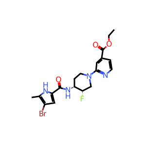 CCOC(=O)c1ccnc(N2CC[C@@H](NC(=O)c3cc(Br)c(C)[nH]3)[C@@H](F)C2)c1